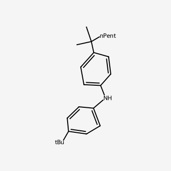 CCCCCC(C)(C)c1ccc(Nc2ccc(C(C)(C)C)cc2)cc1